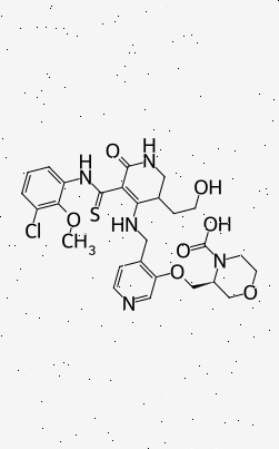 COc1c(Cl)cccc1NC(=S)C1=C(NCc2ccncc2OC[C@@H]2COCCN2C(=O)O)C(CCO)CNC1=O